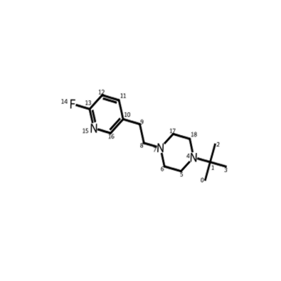 CC(C)(C)N1CCN(CCc2ccc(F)nc2)CC1